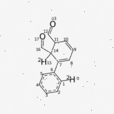 [2H]c1ccccc1C1=CC=CC(C=O)C1([2H])C=O